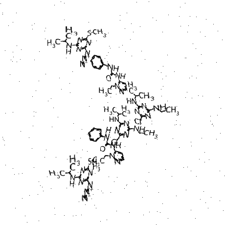 CCNc1nc(Cl)nc(NC(C)C)n1.CCNc1nc(Cl)nc(NC(C)C)n1.CCn1nccc1NC(=O)Nc1ccccc1.CCn1nccc1NC(=O)Nc1ccccc1.CSc1nc(N=[N+]=[N-])nc(NC(C)C)n1.CSc1nc(N=[N+]=[N-])nc(NC(C)C)n1